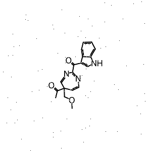 COCC1(C(C)=O)C=CN=C(C(=O)c2c[nH]c3ccccc23)N=C1